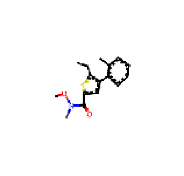 CCc1sc(C(=O)N(C)OC)cc1-c1ccccc1C